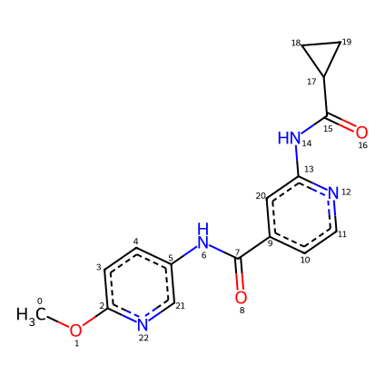 COc1ccc(NC(=O)c2ccnc(NC(=O)C3CC3)c2)cn1